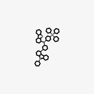 c1ccc(-n2c3ccccc3c3c(-c4cccc(N(c5ccc([Si](c6ccccc6)(c6ccccc6)c6ccccc6)cc5)c5cccc6c5sc5ccccc56)c4)cccc32)cc1